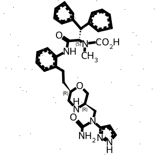 CN(C(=O)O)[C@H](C(=O)Nc1ccccc1CC[C@@H]1CN[C@H](CN(C(N)=O)c2cc[nH]n2)CO1)C(c1ccccc1)c1ccccc1